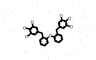 Clc1cc(Cc2ccccc2Oc2ccccc2Cc2cc(Cl)c(Cl)c(Cl)c2)cc(Cl)c1Cl